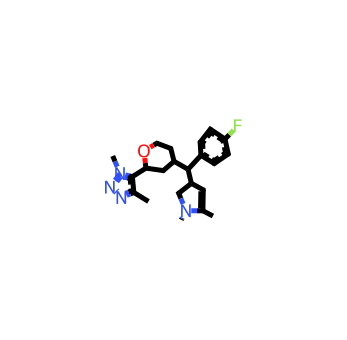 CC1=CC(C(c2ccc(F)cc2)C2CCOC(c3c(C)nnn3C)C2)CN1C